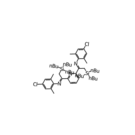 CCCC[Si](CCCC)(CCCC)CC(=Nc1c(C)cc(Cl)cc1C)c1cccc(C(C[Si](CCCC)(CCCC)CCCC)=Nc2c(C)cc(Cl)cc2C)n1